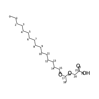 CCCCCCCCCCCCCCCCOC(C)OCC(=O)O